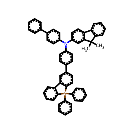 CC1(C)c2ccccc2-c2ccc(N(c3ccc(-c4ccccc4)cc3)c3ccc(-c4ccc5c(c4)-c4ccccc4S5(c4ccccc4)c4ccccc4)cc3)cc21